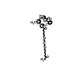 Cc1nc(Nc2ncc(C(=O)Nc3c(C)cccc3Cl)s2)cc(N2CCN(C(=O)CCCCCOCCOCCOCCCCCC(N)=O)CC2)n1